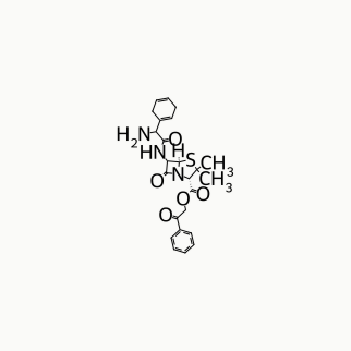 CC1(C)S[C@@H]2C(NC(=O)C(N)C3=CCC=CC3)C(=O)N2[C@H]1C(=O)OCC(=O)c1ccccc1